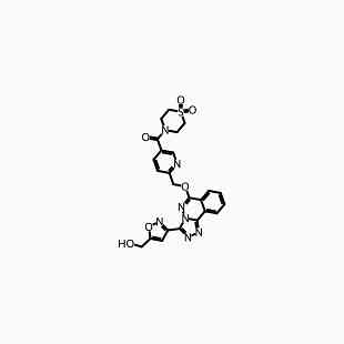 O=C(c1ccc(COc2nn3c(-c4cc(CO)on4)nnc3c3ccccc23)nc1)N1CCS(=O)(=O)CC1